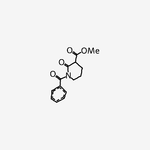 COC(=O)C1CCCN(C(=O)c2ccccc2)C1=O